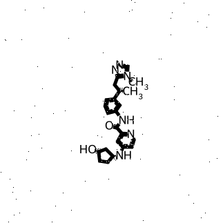 C[C@H](Cc1nncn1C)c1cccc(NC(=O)c2cc(N[C@@H]3CC[C@H](O)C3)ccn2)c1